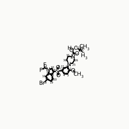 COc1ccc(S(=O)(=O)c2cn(C(F)F)c3cc(Br)ccc23)cc1N1CCN(C(=O)OC(C)(C)C)CC1